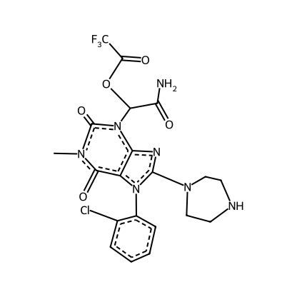 Cn1c(=O)c2c(nc(N3CCNCC3)n2-c2ccccc2Cl)n(C(OC(=O)C(F)(F)F)C(N)=O)c1=O